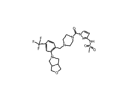 CS(=O)(=O)Nc1ccn(C(=O)N2CCN(Cc3ccc(C(F)(F)F)cc3N3CC4COCC4C3)CC2)n1